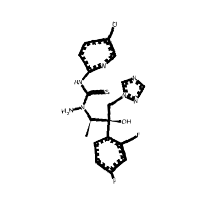 C[C@@H](N(N)C(=S)Nc1ccc(Cl)cn1)[C@](O)(Cn1cncn1)c1ccc(F)cc1F